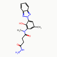 Cc1cc(N(C)C(=O)CCC(=O)NN)c(O)c(-n2nc3ccccc3n2)c1